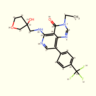 CCn1cnc2c(-c3ccc(C(F)(F)F)cc3)cnc(NCC3(O)CCOC3)c2c1=O